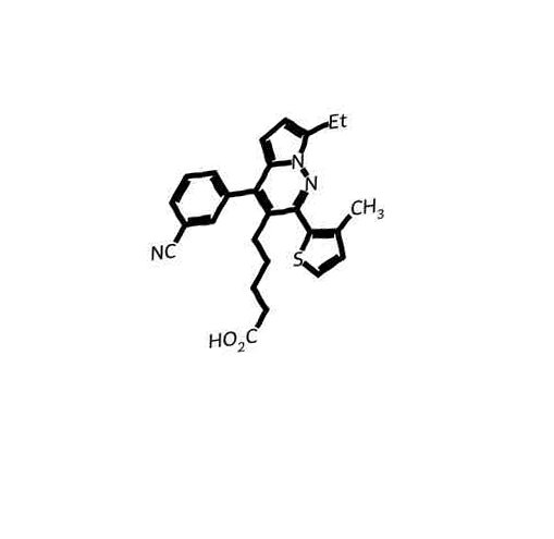 CCc1ccc2c(-c3cccc(C#N)c3)c(CCCCC(=O)O)c(-c3sccc3C)nn12